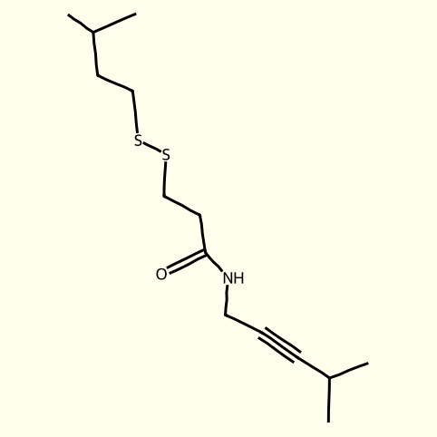 CC(C)C#CCNC(=O)CCSSCCC(C)C